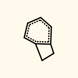 c1ccc2c(c1)CC2